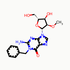 CO[C@@H]1[C@H](O)[C@@H](CO)O[C@H]1n1cnc2c(=O)n(Cc3ccccc3)c(N)nc21